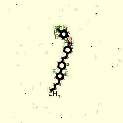 C/C=C/CCc1cc(F)c(C2CCC(/C=C/C3CCC(C(F)(F)Oc4cc(F)c(C(F)(F)F)c(F)c4)CC3)CC2)c(F)c1